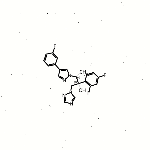 C[C@@H](n1cc(-c2cccc(F)c2)cn1)[C@](O)(Cn1cncn1)c1ccc(F)cc1F